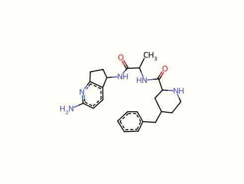 CC(NC(=O)C1CC(Cc2ccccc2)CCN1)C(=O)NC1CCc2nc(N)ccc21